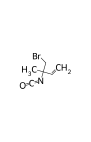 C=CC(C)(CBr)N=C=O